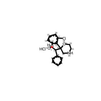 Cl.OCC(c1ccccc1)C1(c2c(F)cccc2Cl)CNCCO1